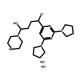 CCC(CCC(O)N1CCNCC1)c1cc(N2CCCC2)nc(N2CCCC2)n1.Cl.Cl